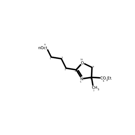 CCCCCCCCCCCC1=NC(C)(C(=O)OCC)CO1